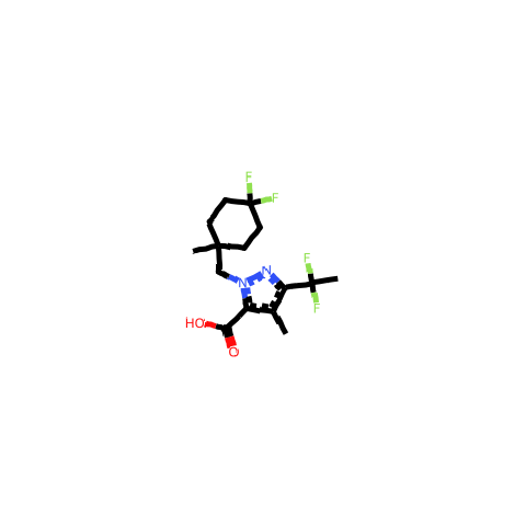 Cc1c(C(C)(F)F)nn(CC2(C)CCC(F)(F)CC2)c1C(=O)O